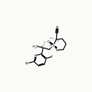 C[C@](N)(C[S@]1(=O)=NCCC[C@]1(C)C#N)c1nc(Br)ccc1F